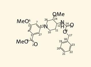 COC(=O)c1cc(OC)cc(N2CCC(NC(=O)OCc3ccccc3)C(OC)C2)c1